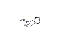 COC1CCC2c3ccccc3C1N2C(=O)O